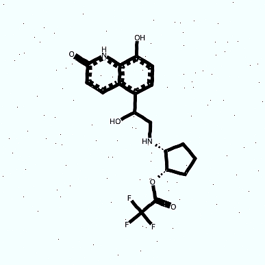 O=C(O[C@H]1CCC[C@H]1NCC(O)c1ccc(O)c2[nH]c(=O)ccc12)C(F)(F)F